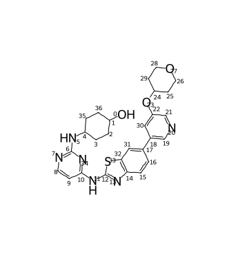 OC1CCC(Nc2nccc(Nc3nc4ccc(-c5cncc(OC6CCOCC6)c5)cc4s3)n2)CC1